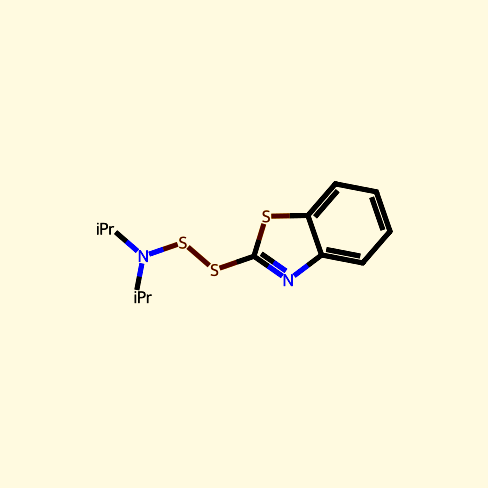 CC(C)N(SSc1nc2ccccc2s1)C(C)C